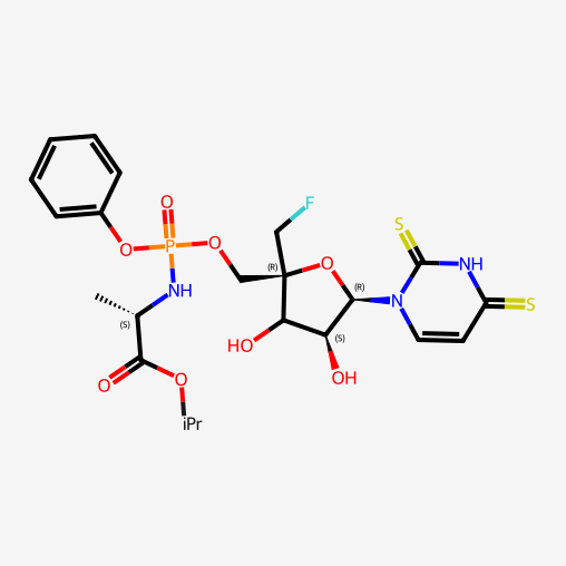 CC(C)OC(=O)[C@H](C)NP(=O)(OC[C@@]1(CF)O[C@@H](n2ccc(=S)[nH]c2=S)[C@@H](O)C1O)Oc1ccccc1